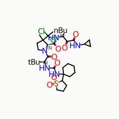 CCCC[C@H](NC(=O)[C@H]1N(C(=O)[C@@H](NC(=O)NC2(C3CCCS3(=O)=O)CCCCC2)C(C)(C)C)CCC1(C)C(C)(Cl)Cl)C(=O)C(=O)NC1CC1